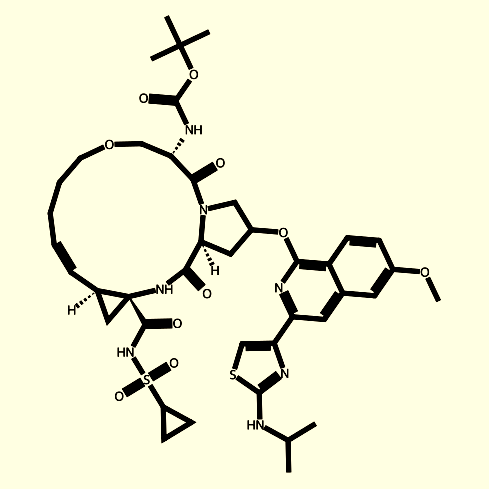 COc1ccc2c(OC3C[C@H]4C(=O)N[C@]5(C(=O)NS(=O)(=O)C6CC6)C[C@H]5/C=C\CCCOC[C@H](NC(=O)OC(C)(C)C)C(=O)N4C3)nc(-c3csc(NC(C)C)n3)cc2c1